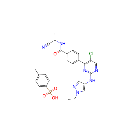 CCn1cc(Nc2ncc(Cl)c(-c3ccc(C(=O)NC(C)C#N)cc3)n2)cn1.Cc1ccc(S(=O)(=O)O)cc1